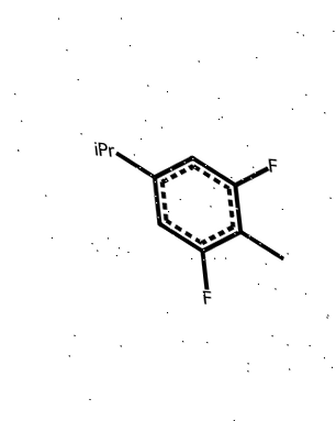 Cc1c(F)cc(C(C)C)cc1F